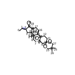 C/C=C1\C[C@H]2[C@@H]3CC[C@@]45CC6(CC[C@@]4(O5)C3=CC[C@]2(C)C1=O)OCC(C)(C)CO6